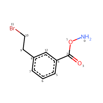 NOC(=O)c1cccc(CCBr)c1